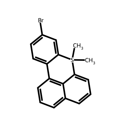 CS1(C)c2cc(Br)ccc2-c2cccc3cccc1c23